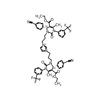 CCOC(=O)C1=C(C)N(c2cccc(C(F)(F)F)c2)C(=O)N(CCCn2cc[n+](CCCN3C(=O)N(c4cccc(C(F)(F)F)c4)C(C)=C(C(=O)OCC)[C@H]3c3ccc(C#N)cc3)c2)[C@@H]1c1ccc(C#N)cc1